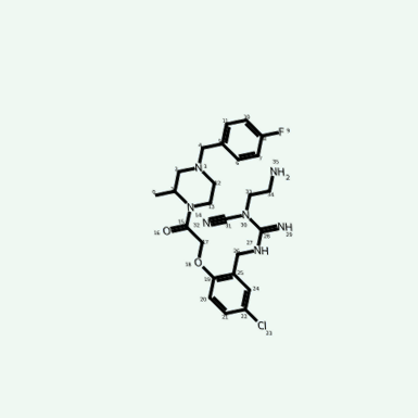 CC1CN(Cc2ccc(F)cc2)CCN1C(=O)COc1ccc(Cl)cc1CNC(=N)N(C#N)CCN